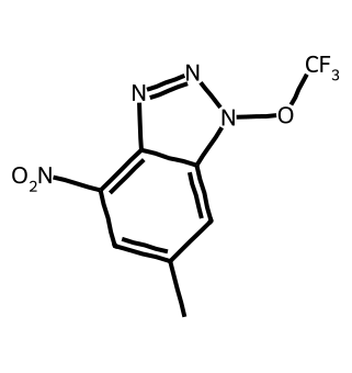 Cc1cc([N+](=O)[O-])c2nnn(OC(F)(F)F)c2c1